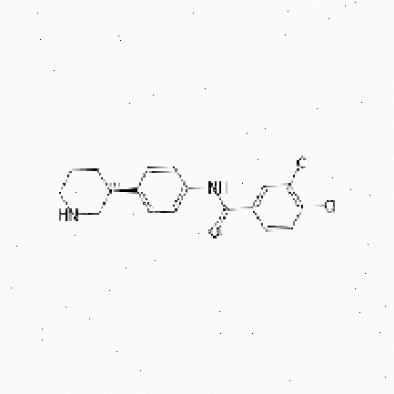 O=C(Nc1ccc([C@@H]2CCCNC2)cc1)c1ccc(Cl)c(Cl)c1